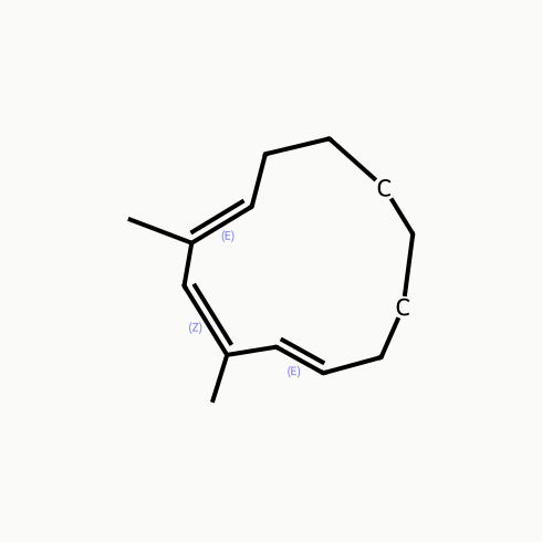 CC1=C/C(C)=C/CCCCCC\C=C\1